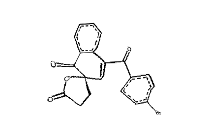 O=C1CC[C@@]2(C=C(C(=O)c3ccc(Br)cc3)c3ccccc3C2=O)O1